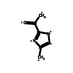 CC(=O)C1=NC(C)=C[N]1